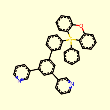 c1ccc(S2(c3cccc(-c4cc(-c5cccnc5)cc(-c5cccnc5)c4)c3)c3ccccc3Oc3ccccc32)cc1